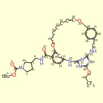 CC(C)(C)OC(=O)N1CCC(CNC(=O)c2ccc3cc2OCCCCCCOc2ccc(cc2)CNc2nc(nc(OCC(F)(F)F)n2)N3)C1